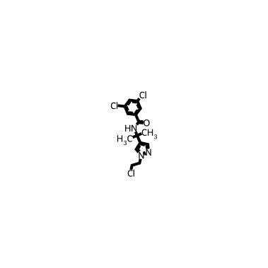 CC(C)(NC(=O)c1cc(Cl)cc(Cl)c1)c1cnn(CCCl)c1